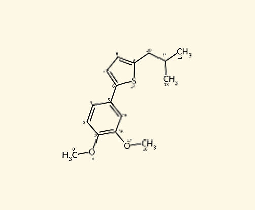 COc1ccc(-c2ccc(CC(C)C)s2)cc1OC